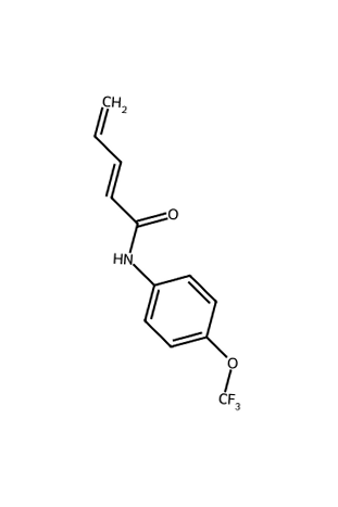 C=CC=CC(=O)Nc1ccc(OC(F)(F)F)cc1